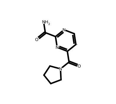 NC(=O)c1nc[c]c(C(=O)N2CCCC2)n1